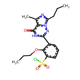 CCCOc1c(-c2nn3c(CCC)nc(C)c3c(=O)[nH]2)cccc1S(=O)(=O)Cl